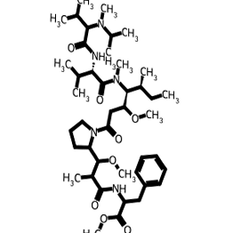 CC[C@H](C)[C@@H](C(CC(=O)N1CCCC1C(OC)C(C)C(=O)NC(Cc1ccccc1)C(=O)OC)OC)N(C)C(=O)[C@@H](NC(=O)C(C(C)C)N(C)C(C)C)C(C)C